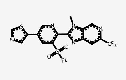 CCS(=O)(=O)c1cc(-c2cncs2)cnc1-c1nc2cc(C(F)(F)F)ncc2n1C